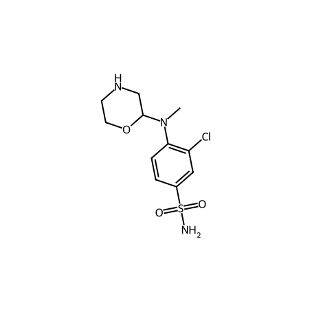 CN(c1ccc(S(N)(=O)=O)cc1Cl)C1CNCCO1